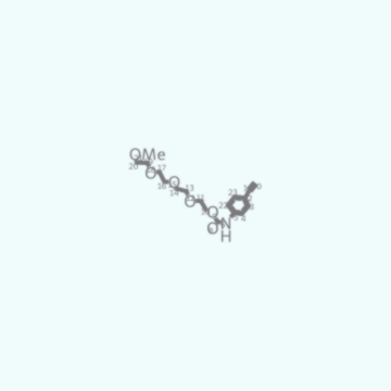 C#Cc1ccc(NC(=O)OCCOCCOCCOCCOC)cc1